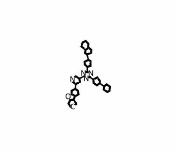 c1ccc(-c2ccc(-c3nc(-c4ccc(-c5ccc6ccccc6c5)cc4)nc(-c4cncc(-c5ccc6c(c5)oc5ccccc56)c4)n3)cc2)cc1